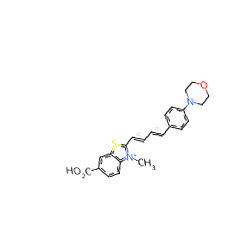 C[n+]1c(/C=C/C=C/c2ccc(N3CCOCC3)cc2)sc2cc(C(=O)O)ccc21